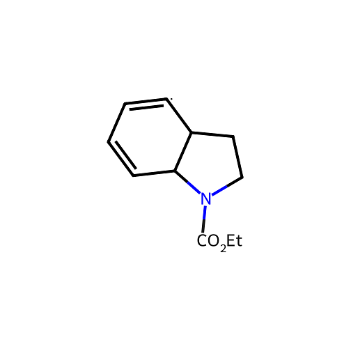 CCOC(=O)N1CCC2[C]=CC=CC21